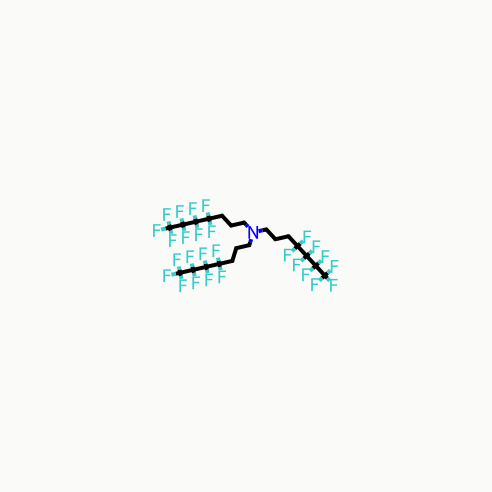 FC(F)(F)C(F)(F)C(F)(F)C(F)(F)CCCN(CCCC(F)(F)C(F)(F)C(F)(F)C(F)(F)F)CCCC(F)(F)C(F)(F)C(F)(F)C(F)(F)F